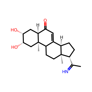 CC(=N)[C@H]1CC[C@@H]2C3=CC(=O)[C@@H]4C[C@@H](O)[C@@H](O)C[C@]4(C)C3CC[C@]12C